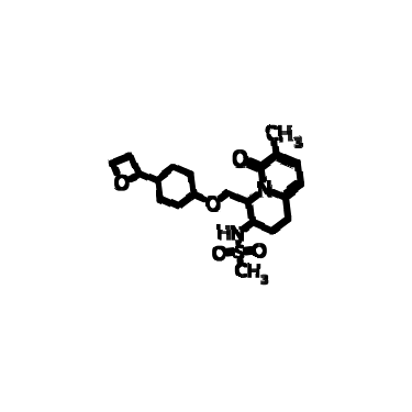 Cc1ccc2n(c1=O)C(COC1CCC(C3CCO3)CC1)C(NS(C)(=O)=O)CC2